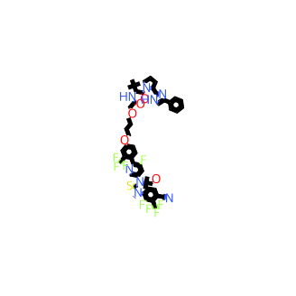 CN(C(=S)N(c1cnc(-c2ccc(OCCCCOCC(=O)NC(C(=O)N3CCCC3c3nc(-c4ccccc4)c[nH]3)C(C)(C)C)cc2C(F)(F)F)c(F)c1)C(C)(C)C=O)c1ccc(C#N)c(C(F)(F)F)c1F